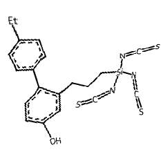 CCc1ccc(-c2ccc(O)cc2CCC[Si](N=C=S)(N=C=S)N=C=S)cc1